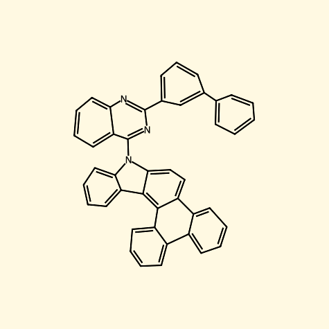 c1ccc(-c2cccc(-c3nc(-n4c5ccccc5c5c6c7ccccc7c7ccccc7c6ccc54)c4ccccc4n3)c2)cc1